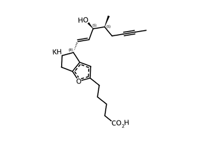 CC#CC[C@H](C)[C@H](O)C=C[C@H]1CCc2oc(CCCCC(=O)O)cc21.[KH]